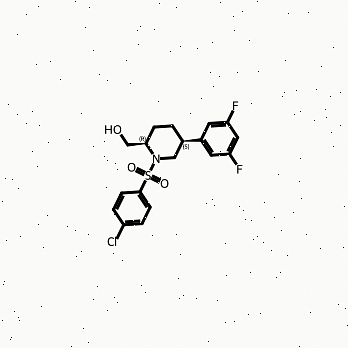 O=S(=O)(c1ccc(Cl)cc1)N1C[C@H](c2cc(F)cc(F)c2)CC[C@@H]1CO